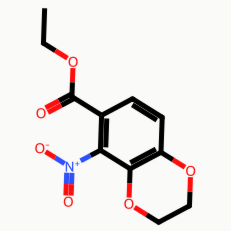 CCOC(=O)c1ccc2c(c1[N+](=O)[O-])OCCO2